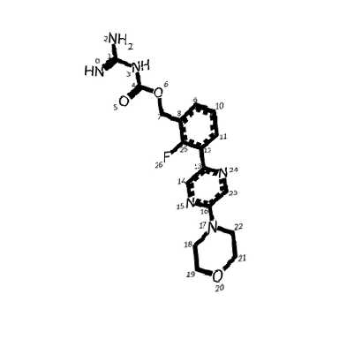 N=C(N)NC(=O)OCc1cccc(-c2cnc(N3CCOCC3)cn2)c1F